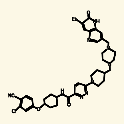 CCc1cc2ncc(CN3CCN(CC4CCN(c5ccc(C(=O)NC6CCC(Oc7ccc(C#N)c(Cl)c7)CC6)nn5)CC4)CC3)cc2[nH]c1=O